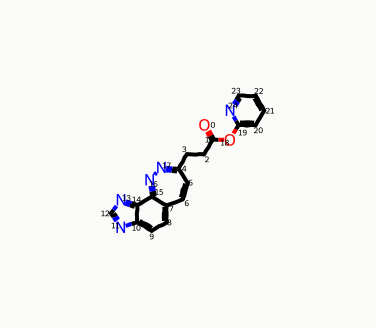 O=C(CCc1ccc2ccc3ncnc3c2nn1)Oc1ccccn1